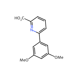 COc1cc(OC)cc(-c2cccc(C(=O)O)n2)c1